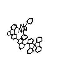 C1=Cc2cc(-c3ccc4oc5cccc(-c6nc(-c7ccccc7)nc(-c7ccccc7)n6)c5c4c3)ccc2C(c2cccc3c2-c2ccccc2C32c3ccccc3-c3ccccc32)C1